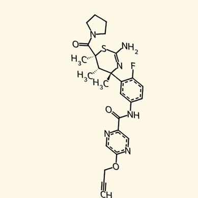 C#CCOc1cnc(C(=O)Nc2ccc(F)c([C@@]3(C)N=C(N)S[C@](C)(C(=O)N4CCCC4)[C@H]3C)c2)cn1